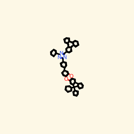 c1ccc(-c2nc(-c3ccc(-c4ccc5c(c4)Oc4cc6c(cc4O5)C(c4ccccc4)(c4ccccc4)c4ccccc4-6)cc3)nc(-c3ccc4c5ccccc5c5ccccc5c4c3)n2)cc1